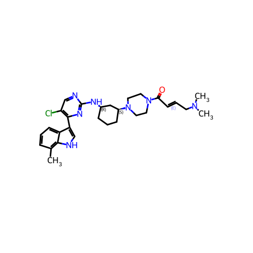 Cc1cccc2c(-c3nc(N[C@@H]4CCC[C@H](N5CCN(C(=O)/C=C/CN(C)C)CC5)C4)ncc3Cl)c[nH]c12